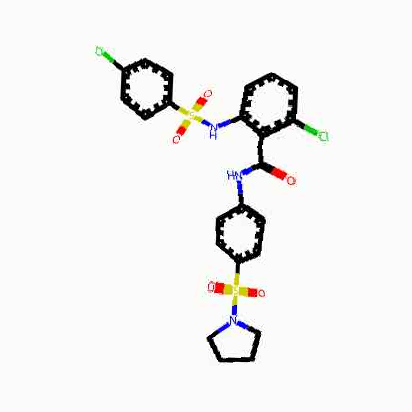 O=C(Nc1ccc(S(=O)(=O)N2CCCC2)cc1)c1c(Cl)cccc1NS(=O)(=O)c1ccc(Cl)cc1